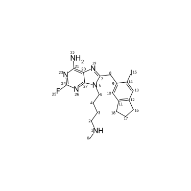 CNCCCCn1c(Cc2cc3c(cc2I)CCC3)nc2c(N)nc(F)nc21